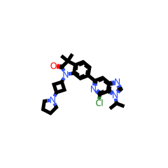 CC(C)n1cnc2cc(-c3ccc4c(c3)N(C3CC(N5CCCC5)C3)C(=O)C4(C)C)nc(Cl)c21